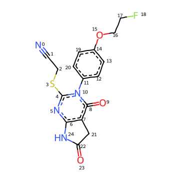 N#CCSc1nc2c(c(=O)n1-c1ccc(OCCF)cc1)CC(=O)N2